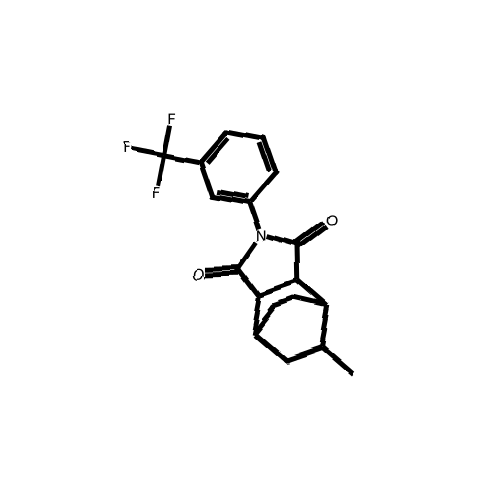 CC1CC2CCC1C1C(=O)N(c3cccc(C(F)(F)F)c3)C(=O)C21